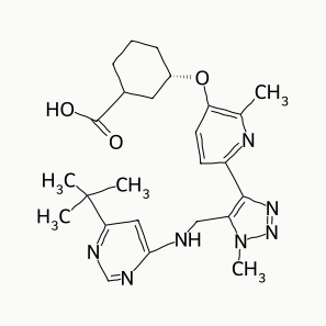 Cc1nc(-c2nnn(C)c2CNc2cc(C(C)(C)C)ncn2)ccc1O[C@H]1CCCC(C(=O)O)C1